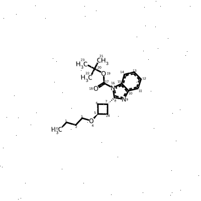 CCCCO[C@H]1C[C@H](c2nc3ccccc3n2C(=O)OC(C)(C)C)C1